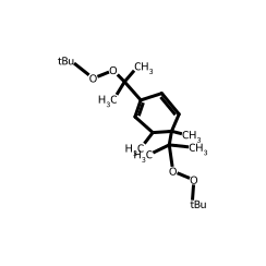 CC1C=C(C(C)(C)OOC(C)(C)C)C=CC1(C)C(C)(C)OOC(C)(C)C